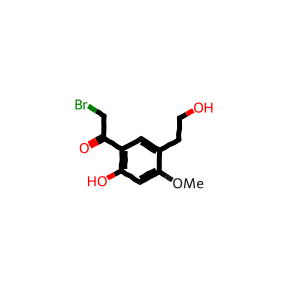 COc1cc(O)c(C(=O)CBr)cc1CCO